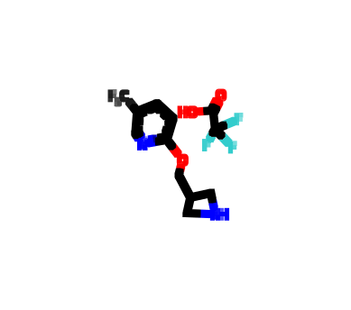 FC(F)(F)c1ccc(OCC2CNC2)nc1.O=C(O)C(F)(F)F